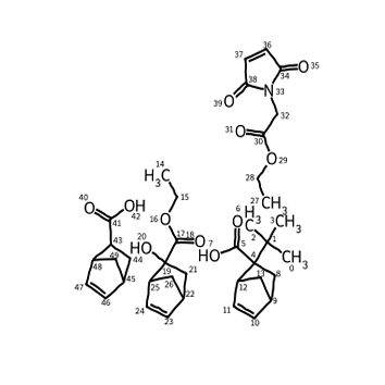 CC(C)(C)C1(C(=O)O)CC2C=CC1C2.CCOC(=O)C1(O)CC2C=CC1C2.CCOC(=O)CN1C(=O)C=CC1=O.O=C(O)C1CC2C=CC1C2